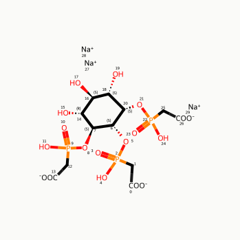 O=C([O-])CP(=O)(O)O[C@@H]1[C@@H](OP(=O)(O)CC(=O)[O-])[C@H](O)[C@@H](O)[C@H](O)[C@@H]1OP(=O)(O)CC(=O)[O-].[Na+].[Na+].[Na+]